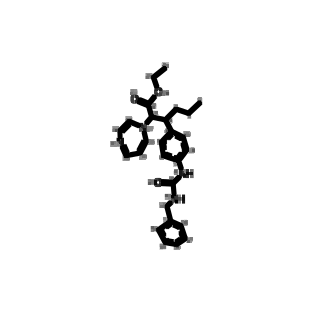 CCCC(c1ccc(NC(=O)NCc2ccccc2)cc1)C(C(=O)OCC)N1C=CC=NC=C1